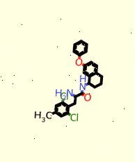 Cc1cc(Cl)c(CC(N)C(=O)NC2CCCc3ccc(Oc4ccccc4)cc32)c(Cl)c1